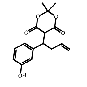 C=CCC(c1cccc(O)c1)C1C(=O)OC(C)(C)OC1=O